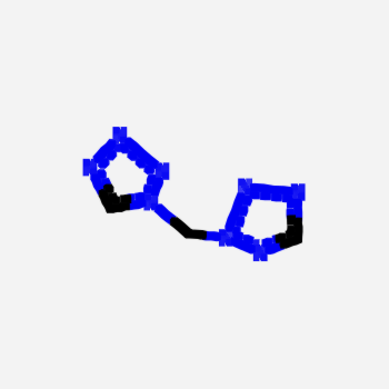 c1nnn(Cn2cnnn2)n1